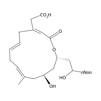 CCCCCCCCCC(O)C[C@@H]1C[C@@H](O)C/C(C)=C/C/C=C/C/C(CC(=O)O)=C\C(=O)O1